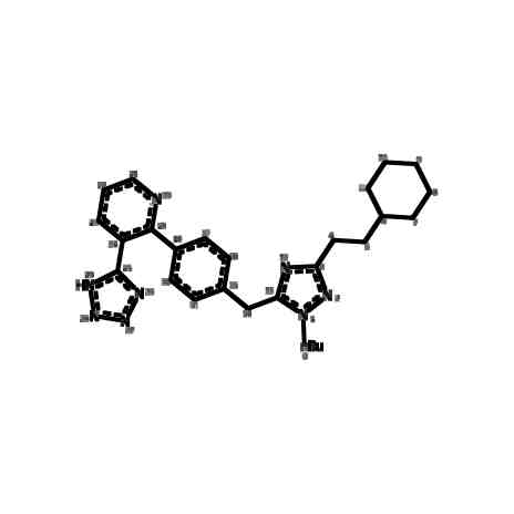 CCCCn1nc(CCC2CCCCC2)nc1Cc1ccc(-c2ncccc2-c2nnn[nH]2)cc1